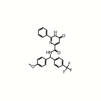 COc1ccc(C(NC(=O)c2cc(=O)[nH]c(-c3ccccc3)n2)c2ccc(C(F)(F)F)cc2)cc1